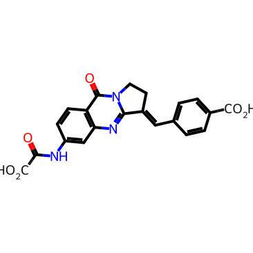 O=C(O)C(=O)Nc1ccc2c(=O)n3c(nc2c1)/C(=C/c1ccc(C(=O)O)cc1)CC3